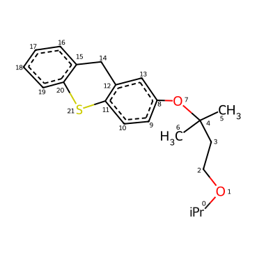 CC(C)OCCC(C)(C)Oc1ccc2c(c1)Cc1ccccc1S2